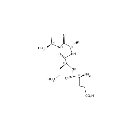 CC(C)[C@H](NC(=O)[C@H](CCC(=O)O)NC(=O)[C@@H](N)CCC(=O)O)C(=O)N[C@H](C)C(=O)O